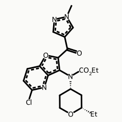 CCOC(=O)N(c1c(C(=O)c2cnn(C)c2)oc2ccc(Cl)nc12)[C@H]1CCO[C@@H](CC)C1